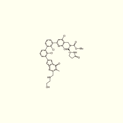 COc1nc(-c2cccc(-c3cccc(-c4cc5c(=O)n(C)c(CNCCO)nn5c4)c3Cl)c2Cl)cc(Cl)c1CN(C[C@@H]1CCC(=O)N1)C(=O)OC(C)(C)C